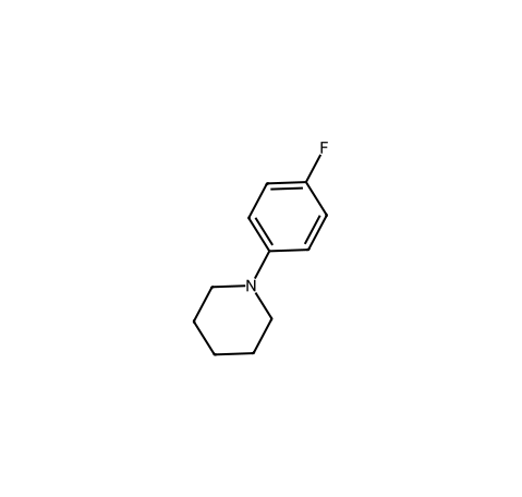 Fc1ccc(N2CCCCC2)cc1